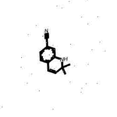 CC1(C)C=Cc2ccc(C#N)cc2N1